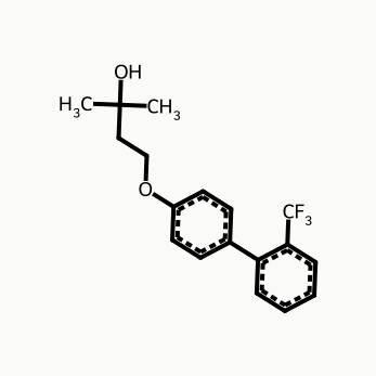 CC(C)(O)CCOc1ccc(-c2ccccc2C(F)(F)F)cc1